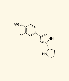 COc1ccc(-c2c[nH]c([C@@H]3CCCN3)n2)cc1F